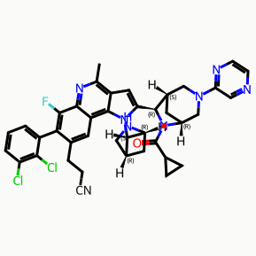 Cc1nc2c(F)c(-c3cccc(Cl)c3Cl)c(CCC#N)cc2c2c1cc([C@H]1[C@H]3C[C@H](CN(c4cnccn4)C3)N1C(=O)C1CC1)n2[C@H]1[C@H]2CN[C@@H]1C2